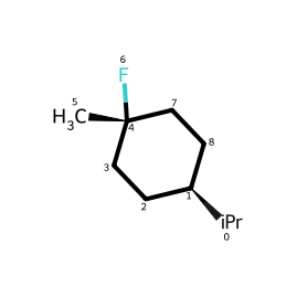 CC(C)[C@H]1CC[C@](C)(F)CC1